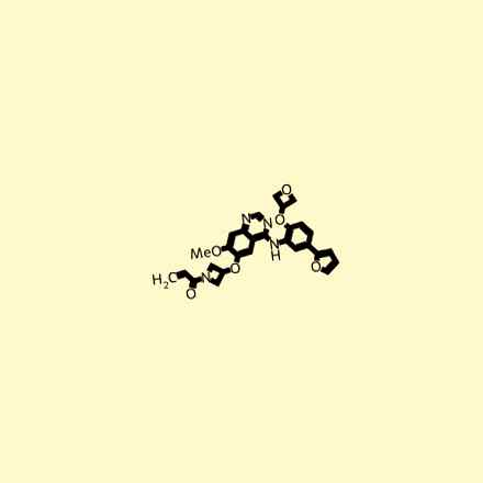 C=CC(=O)N1CC(Oc2cc3c(Nc4cc(-c5ccco5)ccc4OC4COC4)ncnc3cc2OC)C1